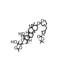 CC(=O)O[C@@H]([C@H]1C[C@@H](C)[C@H]2[C@H](O1)[C@H](O)[C@@]1(C)[C@@H]3CC[C@H]4C(C)(C)[C@@H](O[C@H]5CN(CC6CN(C(=O)OC(C)(C)C)C6)CCO5)CCC45C[C@@]35CC[C@]21C)C(C)(C)O